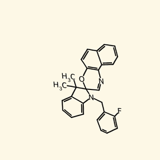 CC1(C)c2ccccc2N(Cc2ccccc2F)C12C=Nc1c(ccc3ccccc13)O2